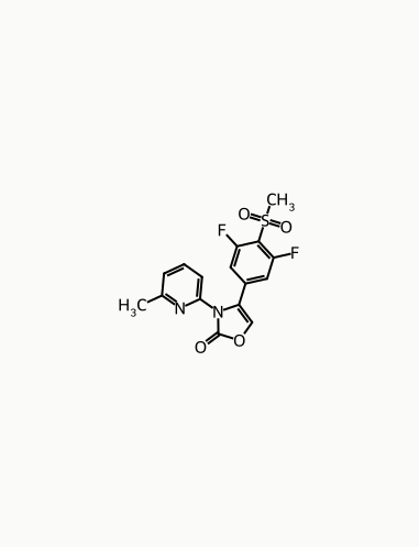 Cc1cccc(-n2c(-c3cc(F)c(S(C)(=O)=O)c(F)c3)coc2=O)n1